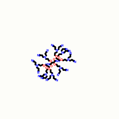 N#CCCN(CCC#N)CCCOCC(COCCCN(CCC#N)CCC#N)(NC(=O)C(OCCCN(CCC#N)CCC#N)C(OCCCN(CCC#N)CCC#N)C(=O)NC(COCCCN(CCC#N)CCC#N)(COCCCN(CCC#N)CCC#N)OCCCN(CCC#N)CCC#N)OCCCN(CCC#N)CCC#N